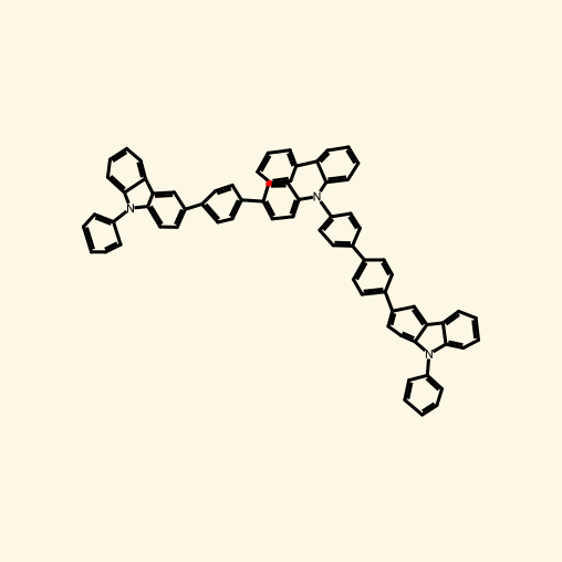 c1ccc(-c2ccccc2N(c2ccc(-c3ccc(-c4ccc5c(c4)c4ccccc4n5-c4ccccc4)cc3)cc2)c2ccc(-c3ccc(-c4ccc5c(c4)c4ccccc4n5-c4ccccc4)cc3)cc2)cc1